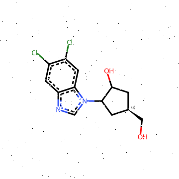 OC[C@@H]1CC(O)C(n2cnc3cc(Cl)c(Cl)cc32)C1